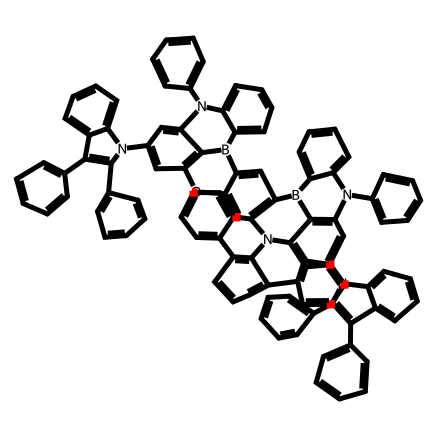 c1ccc(-c2cccc(-c3ccccc3)c2N2c3cc4c(cc3B3c5ccccc5N(c5ccccc5)c5cc(-n6c(-c7ccccc7)c(-c7ccccc7)c7ccccc76)cc2c53)B2c3ccccc3N(c3ccccc3)c3cc(-n5c(-c6ccccc6)c(-c6ccccc6)c6ccccc65)cc(c32)O4)cc1